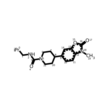 CC(C)CNC(=O)N1CCC(c2ccc3c(c2)oc(=O)n3C)CC1